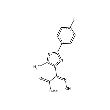 COC(=O)C(=NO)n1nc(-c2ccc(Cl)cc2)cc1C